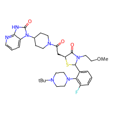 COCCN1C(=O)[C@H](CC(=O)N2CCC(n3c(=O)[nH]c4ncccc43)CC2)SC1c1cccc(F)c1N1CCN(C(C)(C)C)CC1